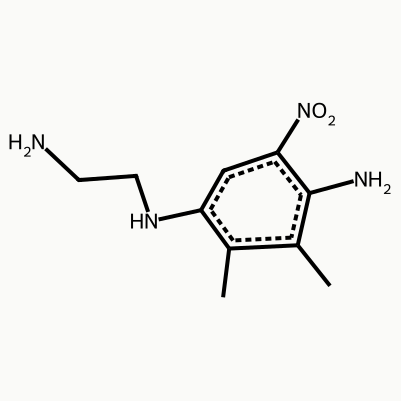 Cc1c(NCCN)cc([N+](=O)[O-])c(N)c1C